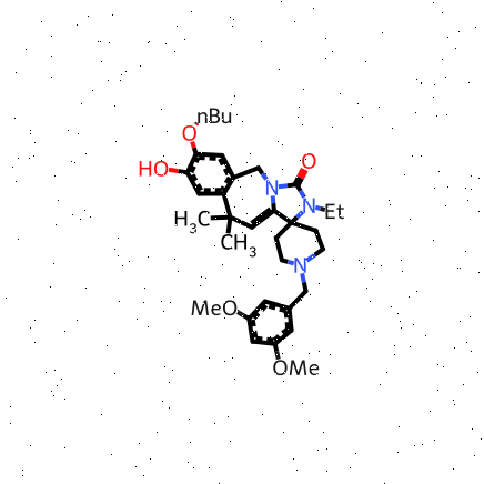 CCCCOc1cc2c(cc1O)C(C)(C)C=C1N(C2)C(=O)N(CC)C12CCN(Cc1cc(OC)cc(OC)c1)CC2